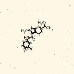 CC(C)N1CCc2c(cn(C)c2C(=O)Nc2ccc(F)c(F)c2)S1